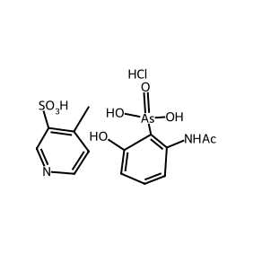 CC(=O)Nc1cccc(O)c1[As](=O)(O)O.Cc1ccncc1S(=O)(=O)O.Cl